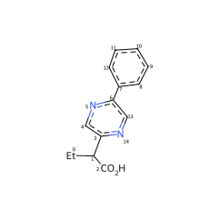 CCC(C(=O)O)c1cnc(-c2ccccc2)cn1